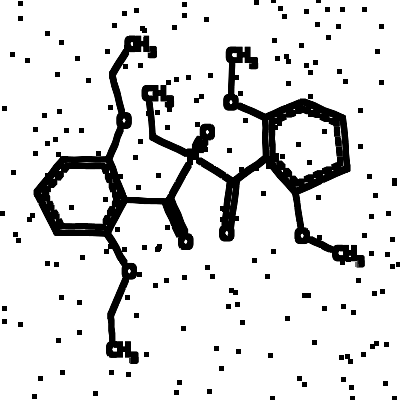 CCOc1cccc(OCC)c1C(=O)P(=O)(CC)C(=O)c1c(OC)cccc1OC